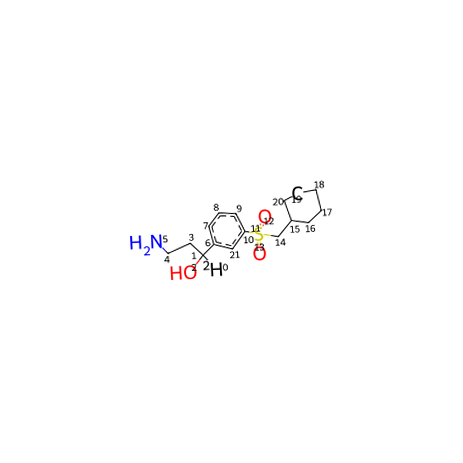 [2H]C(O)(CCN)c1cccc(S(=O)(=O)CC2CCCCC2)c1